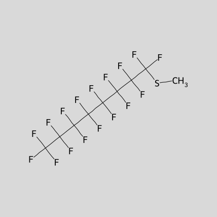 CSC(F)(F)C(F)(F)C(F)(F)C(F)(F)C(F)(F)C(F)(F)C(F)(F)C(F)(F)F